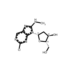 CNc1nc2cnc(Cl)nc2n1[C@@H]1C[C@@H](O)[C@H](CO)O1